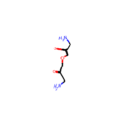 NCC(=O)COCC(=O)CN